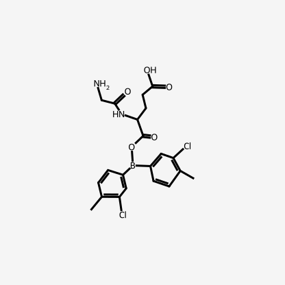 Cc1ccc(B(OC(=O)C(CCC(=O)O)NC(=O)CN)c2ccc(C)c(Cl)c2)cc1Cl